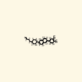 C=CCCC1CCC(c2ccc3cc(-c4ccc(F)c(F)c4)ccc3c2)CC1